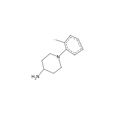 [CH2]c1ccccc1N1CCC(N)CC1